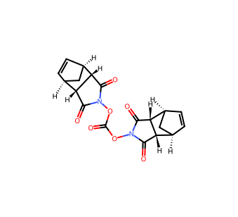 O=C(ON1C(=O)[C@@H]2[C@H](C1=O)[C@H]1C=C[C@@H]2C1)ON1C(=O)[C@@H]2[C@H](C1=O)[C@H]1C=C[C@@H]2C1